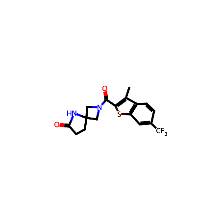 Cc1c(C(=O)N2CC3(CCC(=O)N3)C2)sc2cc(C(F)(F)F)ccc12